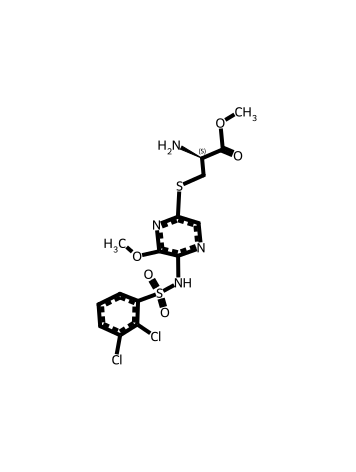 COC(=O)[C@H](N)CSc1cnc(NS(=O)(=O)c2cccc(Cl)c2Cl)c(OC)n1